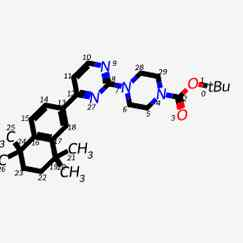 CC(C)(C)OC(=O)N1CCN(c2nccc(-c3ccc4c(c3)C(C)(C)CCC4(C)C)n2)CC1